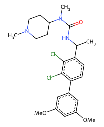 COc1cc(OC)cc(-c2ccc(C(C)NC(=O)N(C)C3CCN(C)CC3)c(Cl)c2Cl)c1